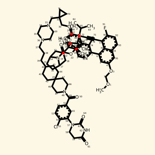 COCOc1cc(-c2ncc3c(N4CC5CCC(C4)N5C(=O)OC(C)(C)C)nc(OCC4(CN5CCN(CCCC6CCC7(CC6)CCN(C(=O)c6ccc(Cl)c(N8CCC(=O)NC8=O)c6)CC7)CC5)CC4)nc3c2F)c2c(C#C[Si](C(C)C)(C(C)C)C(C)C)c(F)ccc2c1